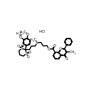 COc1ccc(C2(CCCN(C)CCCOC(=O)c3cccc4c(=O)c(C)c(-c5ccccc5)oc34)S(=O)(=O)CCCS2(=O)=O)cc1OC.Cl